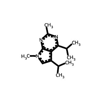 Cc1nc(C(C)C)c2c(C(C)C)cn(C)c2n1